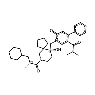 C[C@H](CC1CCCCC1)C(=O)N1CC[C@@](O)(Cn2cc(C(=O)N(C)C)c(-c3ccccc3)cc2=O)C2(CCCC2)C1